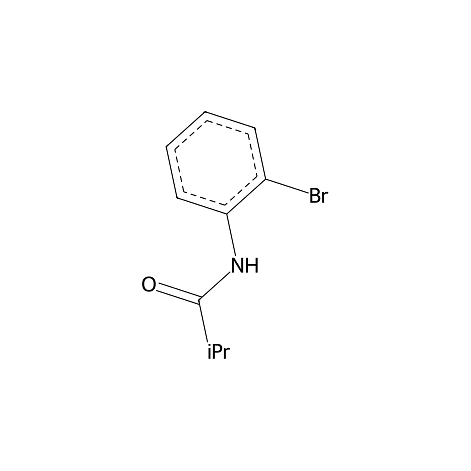 CC(C)C(=O)Nc1ccccc1Br